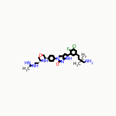 CC(=N)NCC[C@@H]1COC[C@@H](c2ccc(-n3cc4cc(-c5cc(CCC(C)(C)CN)cc(Cl)c5F)[nH]c4nc3=O)cc2)N1